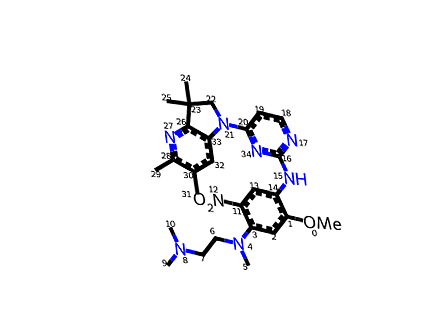 COc1cc(N(C)CCN(C)C)c([N+](=O)[O-])cc1Nc1nccc(N2CC(C)(C)c3nc(C)c(C)cc32)n1